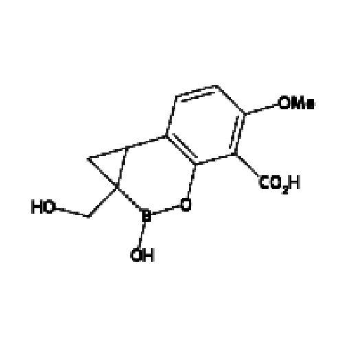 COc1ccc2c(c1C(=O)O)OB(O)C1(CO)CC21